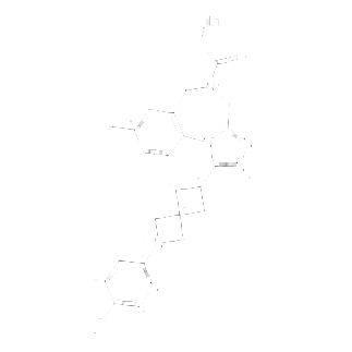 CC(C)OC(=O)N1Cc2cc(Cl)ccc2-n2c(nnc2C2CC3(C2)CN(c2ccc(F)cn2)C3)C1